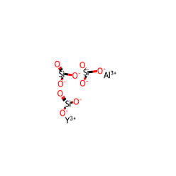 O=[Si]([O-])[O-].O=[Si]([O-])[O-].O=[Si]([O-])[O-].[Al+3].[Y+3]